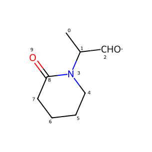 CC([C]=O)N1CCCCC1=O